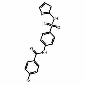 O=C(Nc1ccc(S(=O)(=O)Nc2nccs2)cc1)c1ccc(Br)cc1